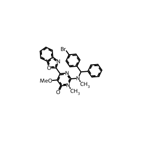 COc1c(-c2nc3ccccc3o2)nc(N(C)C(c2ccccc2)c2ccc(Br)cc2)n(C)c1=O